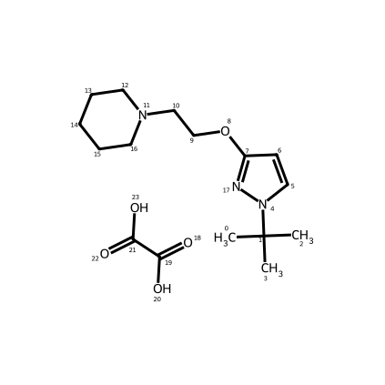 CC(C)(C)n1ccc(OCCN2CCCCC2)n1.O=C(O)C(=O)O